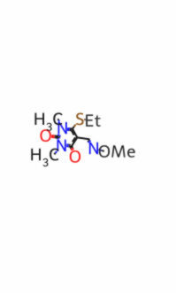 CCSc1c(C=NOC)c(=O)n(C)c(=O)n1C